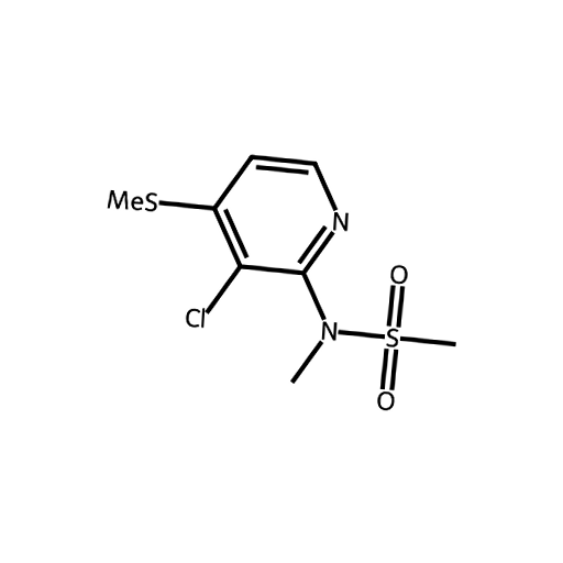 CSc1ccnc(N(C)S(C)(=O)=O)c1Cl